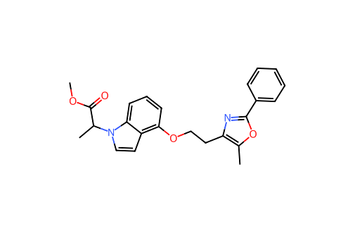 COC(=O)C(C)n1ccc2c(OCCc3nc(-c4ccccc4)oc3C)cccc21